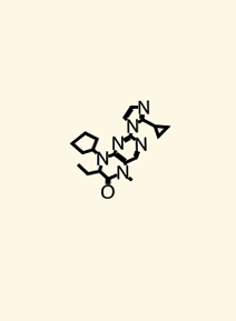 CCC1C(=O)N(C)c2cnc(-n3ccnc3C3CC3)nc2N1C1CCCC1